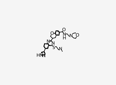 CN(C)CCSc1nc(C2COc3ccc(C(=O)NCCN4CCOCC4)cc3C2)nc2ccc(-c3cn[nH]c3)cc12